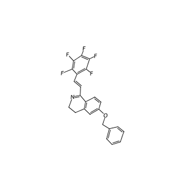 Fc1c(F)c(F)c(C=CC2=NCCc3cc(OCc4ccccc4)ccc32)c(F)c1F